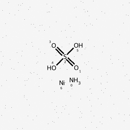 N.O=S(=O)(O)O.[Ni]